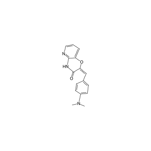 CN(C)c1ccc(C=C2Oc3cccnc3NC2=O)cc1